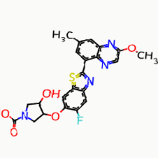 COc1cnc2c(-c3nc4cc(F)c(OC5CN(C(=O)O)CC5O)cc4s3)cc(C)cc2n1